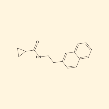 O=C(NCCc1ccc2ccccc2c1)C1CC1